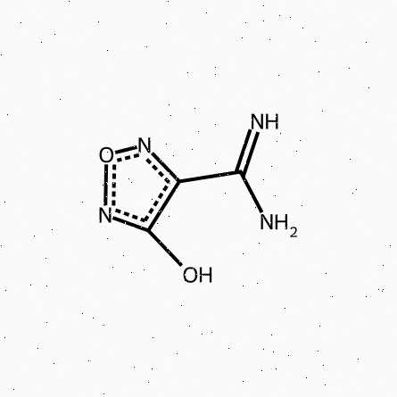 N=C(N)c1nonc1O